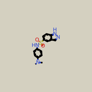 CN(C)c1ccc(NS(=O)(=O)c2ccc3[nH]ncc3c2)cc1